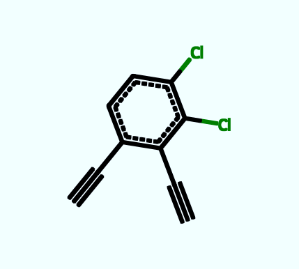 C#Cc1ccc(Cl)c(Cl)c1C#C